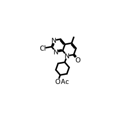 CC(=O)OC1CCC(n2c(=O)cc(C)c3cnc(Cl)nc32)CC1